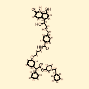 O=C(NCCCOc1cccc(C(C(=O)OC2CCN(Cc3ccccc3)C2)c2ccccc2)c1)c1ccc(CNCC(O)c2ccc(O)c3[nH]c(=O)ccc23)cc1